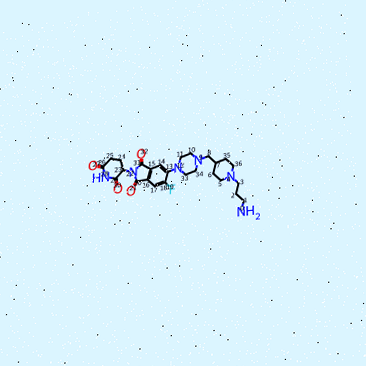 NCCCN1CCC(CN2CCN(c3cc4c(cc3F)C(=O)N(C3CCC(=O)NC3=O)C4=O)CC2)CC1